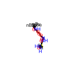 CCC[CH2][Sn]([CH2]CCC)([CH2]CCC)[c]1ccc(C(=O)NCCCOCCOCCOCCCN(C)CC(=O)NC(=O)CCCC[C@@H]2SC[C@@H]3NC(=O)N[C@@H]32)cc1